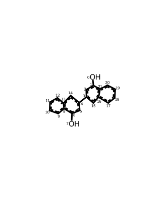 Oc1cc(-c2cc(O)c3ccccc3c2)cc2ccccc12